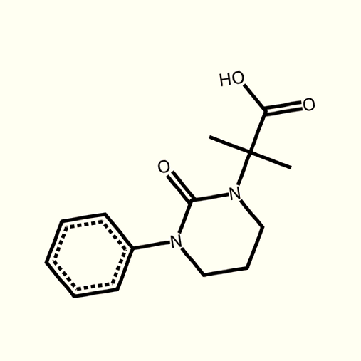 CC(C)(C(=O)O)N1CCCN(c2ccccc2)C1=O